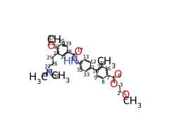 COCCOC(=O)c1ccc(-c2ccc(NC(=O)c3ccc(OC)c(CCCN(C)C)c3)cc2)c(C)c1